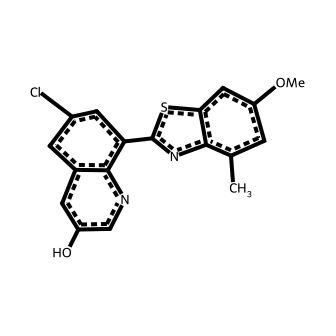 COc1cc(C)c2nc(-c3cc(Cl)cc4cc(O)cnc34)sc2c1